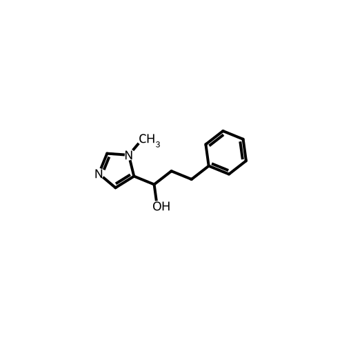 Cn1cncc1C(O)CCc1ccccc1